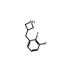 Fc1cccc(CC2CNC2)c1F